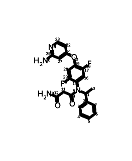 CC(c1ccccc1)N(C(=O)CC(N)=O)c1cc(F)c(Oc2ccnc(N)c2)cc1F